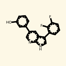 Oc1cccc(-c2cnc3[nH]cc(-c4cccc(F)c4F)c3c2)c1